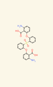 Nc1cccc(Oc2ccccc2S(=O)(=O)c2ccccc2Oc2cccc(N)c2C(=O)O)c1C(=O)O